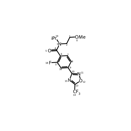 COCCN(C(=O)c1ccc(-c2noc(C(F)(F)F)n2)cc1F)C(C)C